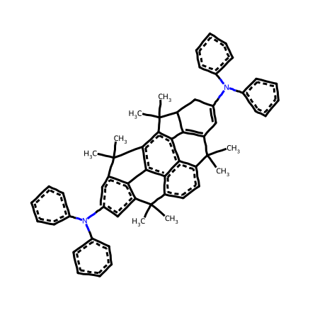 CC1(C)C2=C3c4c(c5c6c7c(ccc1c47)C(C)(C)c1cc(N(c4ccccc4)c4ccccc4)cc(c1-6)C5(C)C)C(C)(C)C3CC(N(c1ccccc1)c1ccccc1)=C2